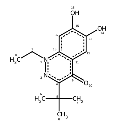 CCn1nc(C(C)(C)C)c(=O)c2cc(O)c(O)cc21